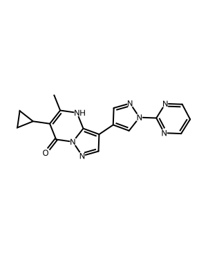 Cc1[nH]c2c(-c3cnn(-c4ncccn4)c3)cnn2c(=O)c1C1CC1